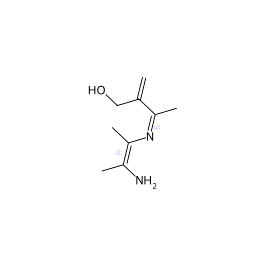 C=C(CO)/C(C)=N\C(C)=C(\C)N